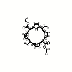 CCOC(=O)C1=C2C=CC(=N2)C(CC)=C2C=CC(=N2)C(C(=O)OCC)=C2C=CC(=N2)C(CC)=C2C=CC1=N2